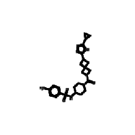 O=C(N1CCC(NS(=O)(=O)c2ccc(C(F)(F)F)cc2)CC1)N1CC2(CC(c3nnc(C4CC4)[nH]3)C2)C1